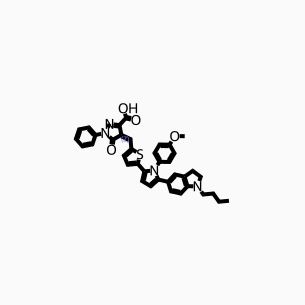 CCCCN1CCc2cc(-c3ccc(-c4ccc(/C=C5\C(=O)N(c6ccccc6)N=C5C(=O)O)s4)n3-c3ccc(OC)cc3)ccc21